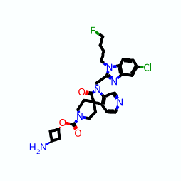 N[C@H]1C[C@H](OC(=O)N2CCC3(CC2)C(=O)N(Cc2nc4cc(Cl)ccc4n2CCCCF)c2cnccc23)C1